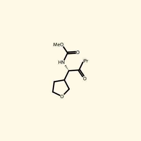 COC(=O)N[C@H](C(=O)C(C)C)C1CCOC1